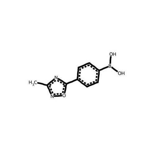 Cc1noc(-c2ccc(B(O)O)cc2)n1